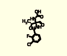 C[C@@H](O)[C@](C=O)(NCc1cccc(Cl)c1F)NC(=O)O